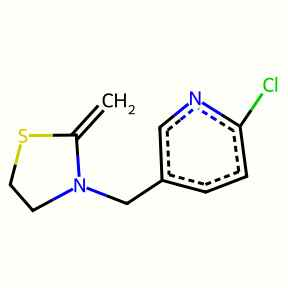 C=C1SCCN1Cc1ccc(Cl)nc1